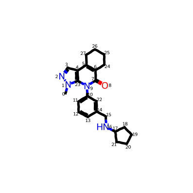 Cn1ncc2c3c(c(=O)n(-c4cccc(CNC5CCCC5)c4)c21)CCCC3